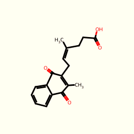 CC1=C(C/C=C(/C)CCC(=O)O)C(=O)c2ccccc2C1=O